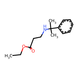 CCOC(=O)CCNC(C)(C)c1ccccc1